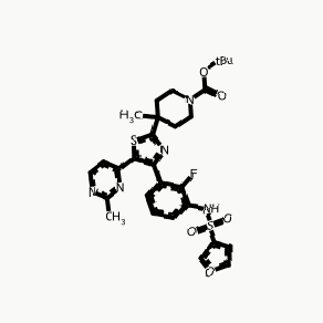 Cc1nccc(-c2sc(C3(C)CCN(C(=O)OC(C)(C)C)CC3)nc2-c2cccc(NS(=O)(=O)c3ccoc3)c2F)n1